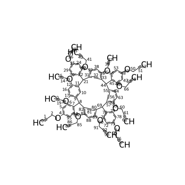 C#CCOc1ccc(C2c3cc(c(OC#C)cc3OC#C)C(c3ccc(OC#C)cc3)c3cc(c(OC#C)cc3OCC#C)C(c3ccc(OCC#C)cc3)c3cc(c(OCC#C)cc3OCC#C)C(c3ccc(OCC#C)cc3)c3cc2c(OCC#C)cc3OCC#C)cc1